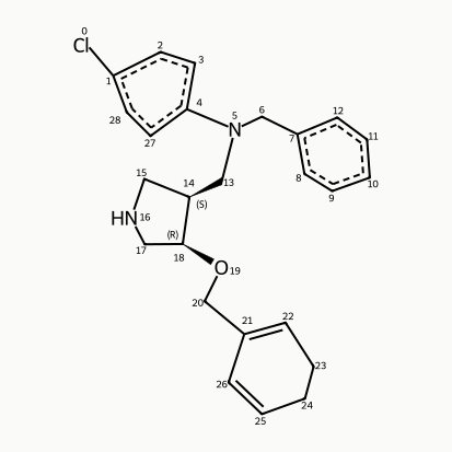 Clc1ccc(N(Cc2ccccc2)C[C@@H]2CNC[C@@H]2OCC2=CCCC=C2)cc1